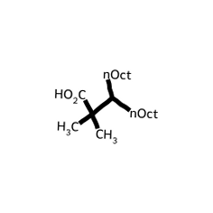 CCCCCCCCC(CCCCCCCC)C(C)(C)C(=O)O